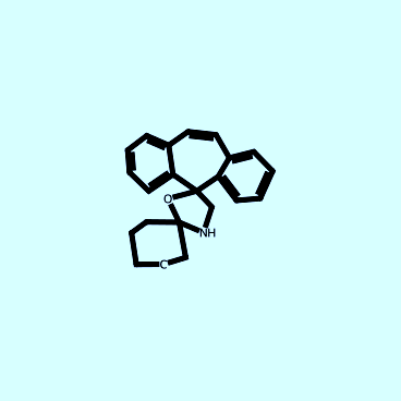 C1=Cc2ccccc2C2(CNC3(CCCCC3)O2)c2ccccc21